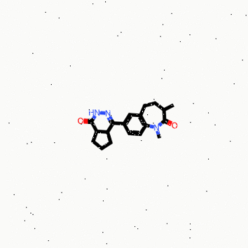 CC1CCc2cc(C3=NNC(=O)C4CCCC34)ccc2N(C)C1=O